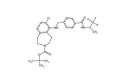 CC(NC(=O)c1ccc(CNc2c(Cl)ccc3c2CCN(C(=O)OC(C)(C)C)CC3)cc1)C(F)(F)F